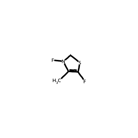 CC1=C(F)S[CH]N1F